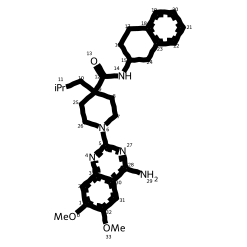 COc1cc2nc(N3CCC(CC(C)C)(C(=O)NC4CCc5ccccc5C4)CC3)nc(N)c2cc1OC